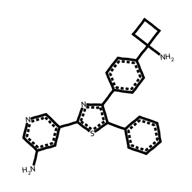 Nc1cncc(-c2nc(-c3ccc(C4(N)CCC4)cc3)c(-c3ccccc3)s2)c1